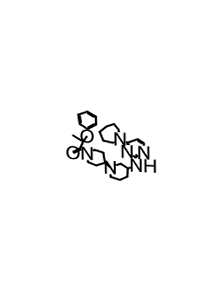 CC(Oc1ccccc1)C(=O)N1CCC(N2CCCC(Nc3nccc(N4CCCCCC4)n3)C2)CC1